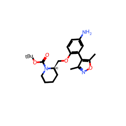 Cc1noc(C)c1-c1cc(N)ccc1OC[C@H]1CCCCN1C(=O)OC(C)(C)C